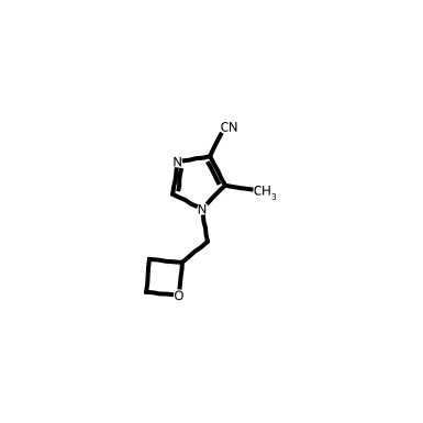 Cc1c(C#N)ncn1CC1CCO1